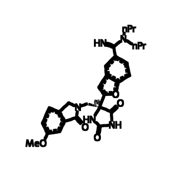 CCCN(CCC)C(=N)c1ccc2oc([C@]3(CN4Cc5ccc(OC)cc5C4=O)NC(=O)NC3=O)cc2c1